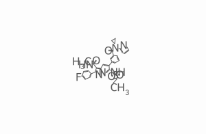 CCCS(=O)(=O)Nc1cn2nc(-c3ccc(F)cc3)c(C(=O)NC)c2cc1-c1cccc(C(=O)N(c2ccccn2)C2CC2)c1